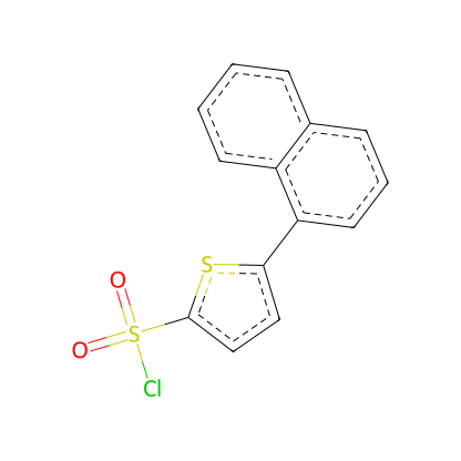 O=S(=O)(Cl)c1ccc(-c2cccc3ccccc23)s1